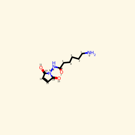 NCCCCCC(=O)NN1C(=O)C=CC1=O